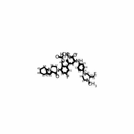 CC(=O)OCc1c(-c2cc(Nc3ccc(N4CCN(C)C(CF)C4)cc3)c(=O)n(C)c2)cc(F)cc1N1CCn2c(cc3c2CCCC3)C1=O